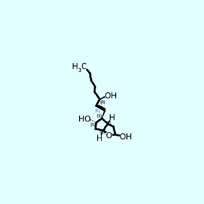 CCCCC[C@@H](O)/C=C/[C@H]1[C@@H]2CC(O)O[C@@H]2C[C@@H]1O